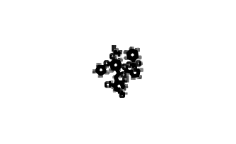 O=C(OC(Cc1c(Cl)c[n+]([O-])cc1Cl)c1ccc(OC(F)F)c(OC2CCCC2)c1)C1CCCN1S(=O)(=O)c1ccccc1